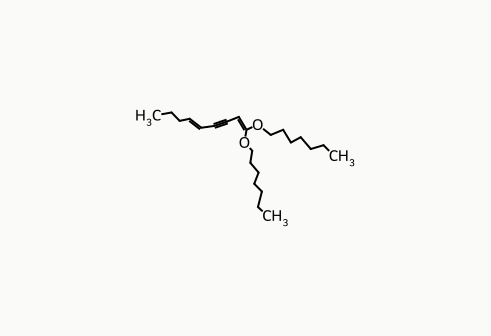 CCC/C=C/C#CC=C(OCCCCCCC)OCCCCCCC